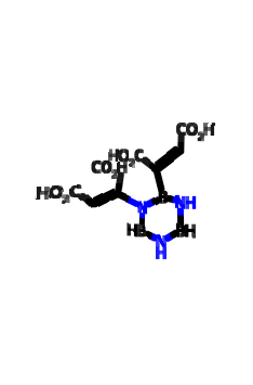 O=C(O)/C=C(/B1NBNBN1/C(=C/C(=O)O)C(=O)O)C(=O)O